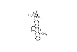 Cc1c2c(cc3ccccc13)-c1nccc3c1c(cc1ccc(CC(C)(C)C(F)(F)F)cc13)O2